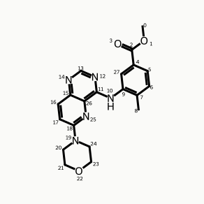 COC(=O)c1ccc(C)c(Nc2ncnc3ccc(N4CCOCC4)nc23)c1